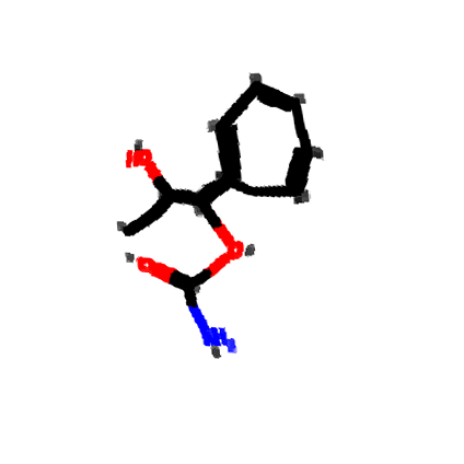 CC(O)C(OC(N)=O)c1ccccc1